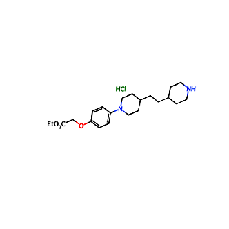 CCOC(=O)COc1ccc(N2CCC(CCC3CCNCC3)CC2)cc1.Cl